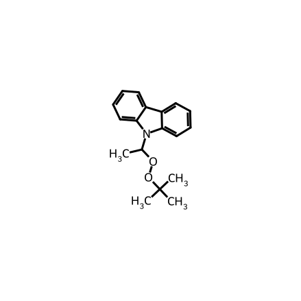 CC(OOC(C)(C)C)n1c2ccccc2c2ccccc21